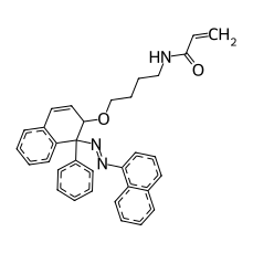 C=CC(=O)NCCCCOC1C=Cc2ccccc2C1(N=Nc1cccc2ccccc12)c1ccccc1